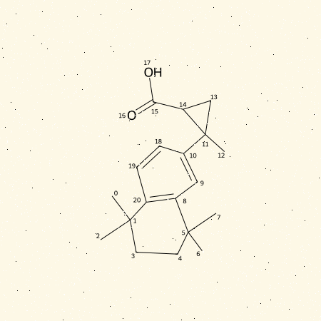 CC1(C)CCC(C)(C)c2cc(C3(C)CC3C(=O)O)ccc21